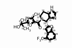 Cc1nc(C(C)(C)O)oc1C(=O)N1CCc2[nH]cnc2[C@@H]1c1cc2c(C(F)(F)F)cccc2o1